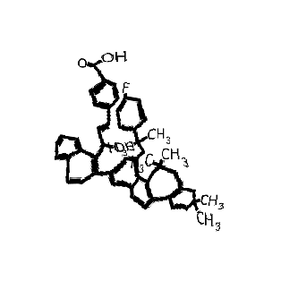 CC1(C)C=CC2=C(C1)CC(C)(C)c1c2ccc2cc(-c3ccc4ccccc4c3C(O)C=Cc3ccc(C(=O)O)cc3)cc(CC(C)(C)c3ccc(F)cc3)c12